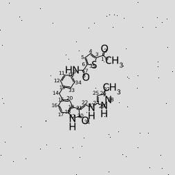 CC(=O)c1ccc(C(=O)Nc2ccc(Cc3ccc4c(c3)/C(=C/Nc3cc(C)n[nH]3)C(=O)N4)cc2)s1